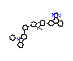 CC1(C)c2cc(-c3cccc(-c4ccc5c6ccccc6n(-c6ccccc6)c5c4)c3)ccc2-c2ccc(-c3ccc4c5ccccc5c5nccnc5c4c3)cc21